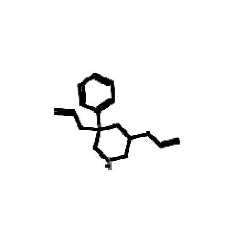 C=CCC1CNCC(CC=C)(c2ccccc2)C1